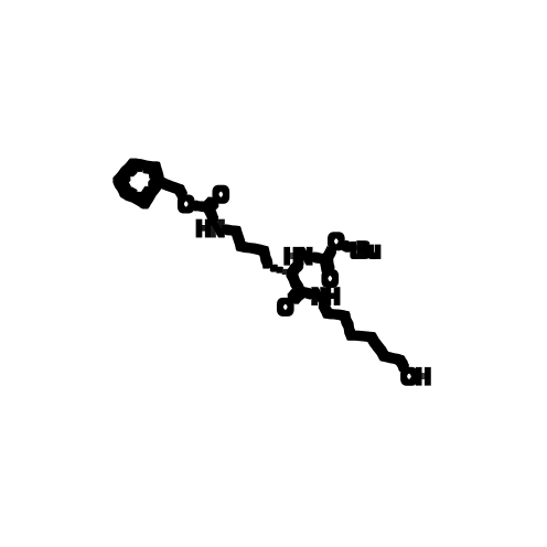 CC(C)(C)OC(=O)N[C@@H](CCCCNC(=O)OCc1ccccc1)C(=O)NCCCCCCO